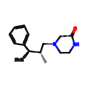 [CH2-][NH2+][C@@H](c1ccccc1)[C@@H](C)CN1CCNC(=O)C1